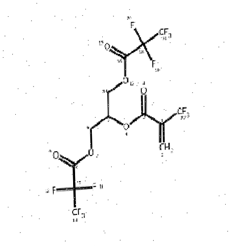 C=C(C(=O)OC(COC(=O)C(F)(F)C(F)(F)F)COC(=O)C(F)(F)C(F)(F)F)C(F)(F)F